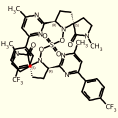 Cc1cc(-c2ccc(C(F)(F)F)cc2)nc([C@H]2CC[C@@]3(CCN(C)C3=O)N2OS(=O)(=O)ON2[C@@H](c3nc(C)cc(-c4ccc(C(F)(F)F)cc4)n3)CC[C@@]23CCN(C)C3=O)n1